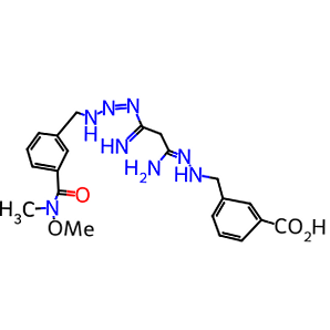 CON(C)C(=O)c1cccc(CN/N=N\C(=N)C/C(N)=N/NCc2cccc(C(=O)O)c2)c1